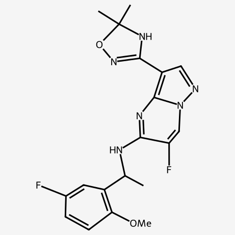 COc1ccc(F)cc1C(C)Nc1nc2c(C3=NOC(C)(C)N3)cnn2cc1F